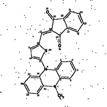 CN1c2ccccc2N(c2ccc(C=C3C(=O)c4ccccc4C3=O)s2)c2ccccc21